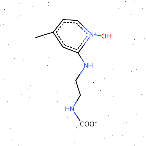 Cc1cc[n+](O)c(NCCNC(=O)[O-])c1